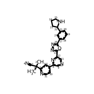 CC(C)(C#N)c1cc(-c2cncc(-c3nnc(-c4cccc(C5CCCN5)c4)o3)n2)ccn1